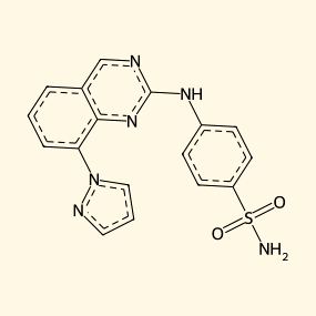 NS(=O)(=O)c1ccc(Nc2ncc3cccc(-n4cccn4)c3n2)cc1